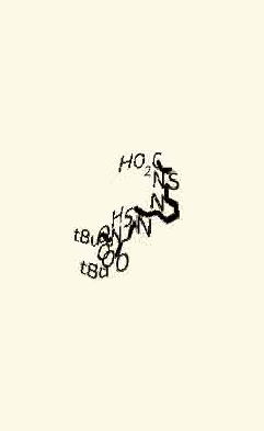 CC(C)(C)OC(=O)N[C@@H](Cc1nc(-c2cccc(-c3nc(C(=O)O)cs3)n2)cs1)C(=O)OC(C)(C)C